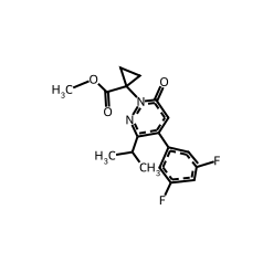 COC(=O)C1(n2nc(C(C)C)c(-c3cc(F)cc(F)c3)cc2=O)CC1